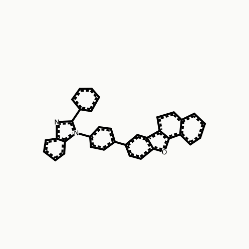 c1ccc(-c2nc3ccccc3n2-c2ccc(-c3ccc4oc5c6ccccc6ccc5c4c3)cc2)cc1